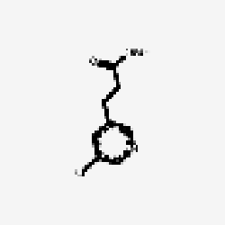 COC(=O)[CH]Cc1cncc(Cl)c1